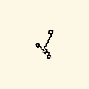 O=c1nc(SCc2ccccc2)n(CCCCCCCCc2ccccc2)cc1Cc1cccnc1